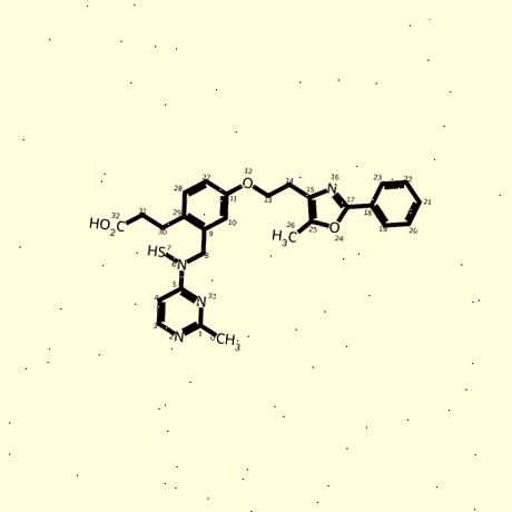 Cc1nccc(N(S)Cc2cc(OCCc3nc(-c4ccccc4)oc3C)ccc2CCC(=O)O)n1